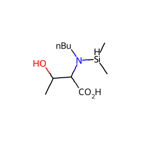 CCCCN(C(C(=O)O)C(C)O)[SiH](C)C